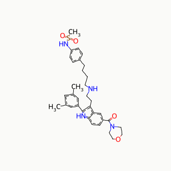 Cc1cc(C)cc(-c2[nH]c3ccc(C(=O)N4CCOCC4)cc3c2CCNCCCCc2ccc(NS(C)(=O)=O)cc2)c1